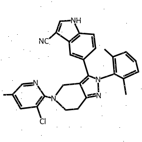 Cc1cnc(N2CCc3nn(-c4c(C)cccc4C)c(-c4ccc5[nH]cc(C#N)c5c4)c3C2)c(Cl)c1